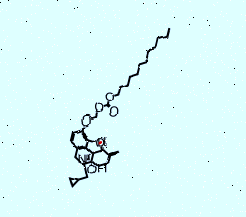 C=C1CC[C@@]2(O)C3Cc4ccc(OCOC(=O)OCCCCCCCCCCCC)c5c4[C@@]2(CCN3CC2CC2)[C@H]1O5